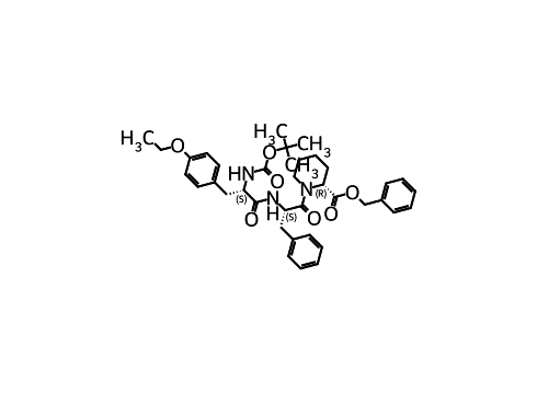 CCOc1ccc(C[C@H](NC(=O)OC(C)(C)C)C(=O)N[C@@H](Cc2ccccc2)C(=O)N2CCCC[C@@H]2C(=O)OCc2ccccc2)cc1